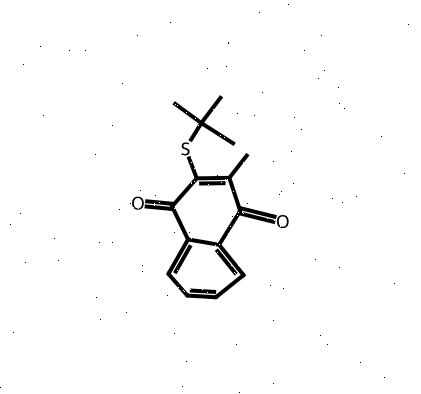 CC1=C(SC(C)(C)C)C(=O)c2ccccc2C1=O